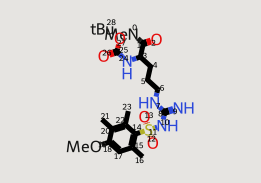 CNC(=O)C(CCCNC(=N)NS(=O)(=O)c1c(C)cc(OC)c(C)c1C)NC(=O)OC(C)(C)C